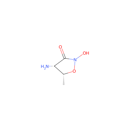 C[C@H]1ON(O)C(=O)[C@H]1N